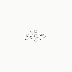 C#CCn1c2ccccc2c2cc(-c3c4c5ccccc5n(CC#C)c4c(-c4ccc5c(c4)c4ccccc4n5CC#C)c4c5ccccc5n(CC#C)c34)ccc21